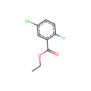 CCOC(=O)c1cc(Cl)ccc1F